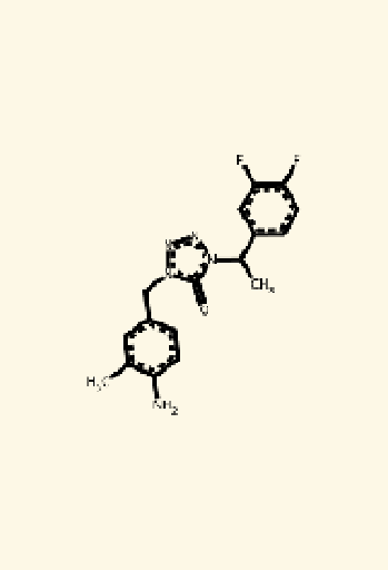 Cc1cc(Cn2nnn(C(C)c3ccc(F)c(F)c3)c2=O)ccc1N